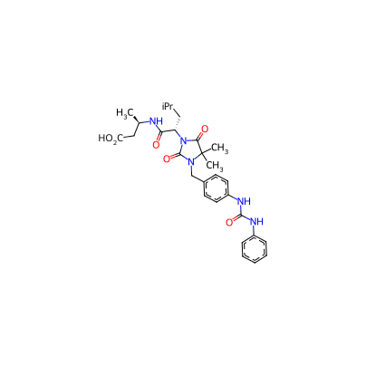 CC(C)C[C@@H](C(=O)N[C@H](C)CC(=O)O)N1C(=O)N(Cc2ccc(NC(=O)Nc3ccccc3)cc2)C(C)(C)C1=O